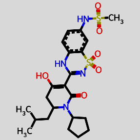 CC(C)CC1CC(O)=C(C2=NS(=O)(=O)c3cc(NS(C)(=O)=O)ccc3N2)C(=O)N1C1CCCC1